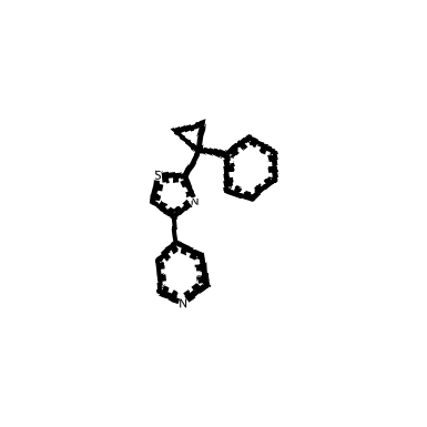 c1ccc(C2(c3nc(-c4ccncc4)cs3)CC2)cc1